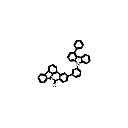 O=c1c2ccc(-c3cccc(-n4c5ccccc5c5c(-c6ccccc6)cccc54)c3)cc2c2cccc3c4ccccc4n1c23